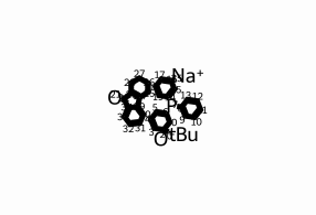 CC(C)(C)C1([O-])C=CC=C(P(c2ccccc2)c2ccccc2)C1.O=C1C2=C(CCCC2)c2ccccc21.[Na+]